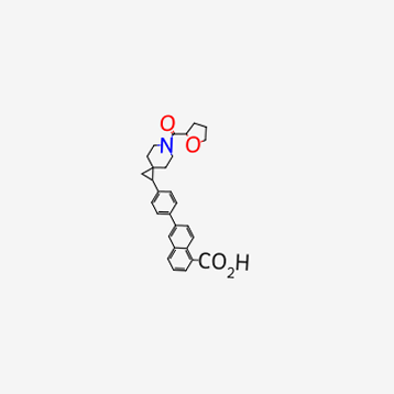 O=C(O)c1cccc2cc(-c3ccc(C4CC45CCN(C(=O)C4CCCO4)CC5)cc3)ccc12